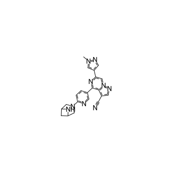 Cn1cc(-c2cn3ncc(C#N)c3c(-c3ccc(N4CC5CC(C4)N5)nc3)n2)cn1